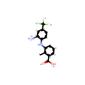 Cc1c(Nc2ccc(C(F)(F)F)cc2N)cccc1C(=O)O